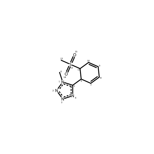 Cn1nnnc1C1C=CC=CC1S(C)(=O)=O